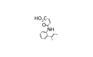 CC=C(C)c1ccccc1NC(=O)/C=C\C(=O)O